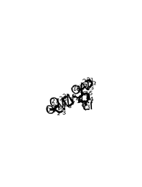 O=C1CCN(N2CCN(Cc3cc(Cl)ccc3C(=O)N3CCCC3)CC2)C1=O